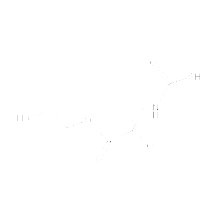 CCCOC(=O)C(C)CNC(C)=O